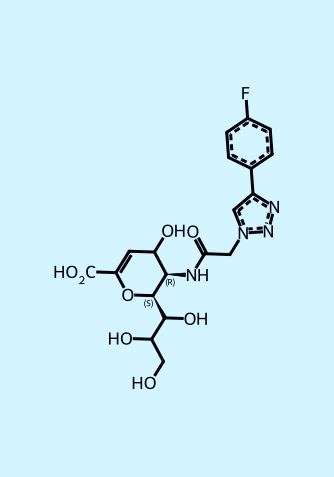 O=C(Cn1cc(-c2ccc(F)cc2)nn1)N[C@@H]1C(O)C=C(C(=O)O)O[C@@H]1C(O)C(O)CO